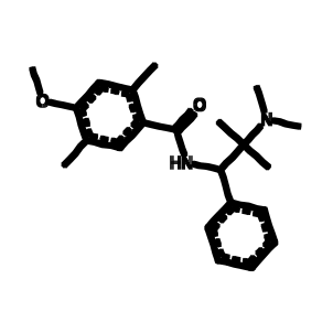 COc1cc(C)c(C(=O)NC(c2ccccc2)C(C)(C)N(C)C)cc1C